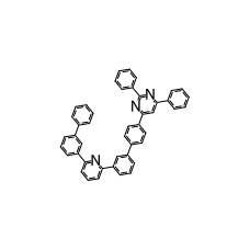 c1ccc(-c2cccc(-c3cccc(-c4cccc(-c5ccc(-c6cc(-c7ccccc7)nc(-c7ccccc7)n6)cc5)c4)n3)c2)cc1